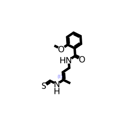 COc1ccccc1C(=O)NC/C=C(\C)NC=S